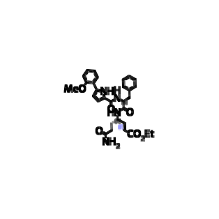 CCOC(=O)/C=C/[C@H](CCC(N)=O)NC(=O)[C@H](Cc1ccccc1)NC(=O)c1ccc(-c2ccccc2OC)[nH]1